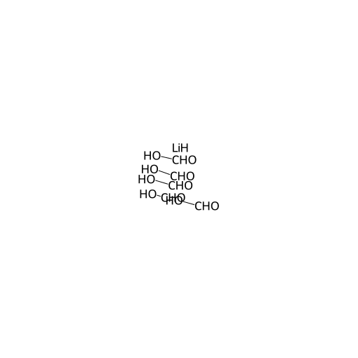 O=CO.O=CO.O=CO.O=CO.O=CO.[LiH]